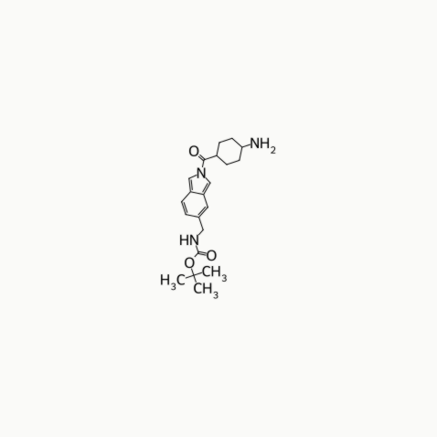 CC(C)(C)OC(=O)NCc1ccc2cn(C(=O)C3CCC(N)CC3)cc2c1